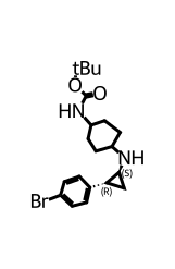 CC(C)(C)OC(=O)NC1CCC(N[C@H]2C[C@@H]2c2ccc(Br)cc2)CC1